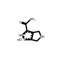 Cl.NC(=O)c1[nH]nc2c1CNC2